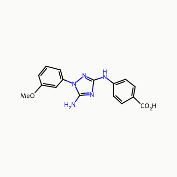 COc1cccc(-n2nc(Nc3ccc(C(=O)O)cc3)nc2N)c1